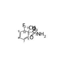 CC1(S(N)(=O)=O)C=CC=CC1F